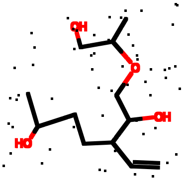 C=CC(CCC(C)O)C(O)COC(C)CO